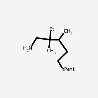 CCCCCCCC(C)C(C)(CC)CN